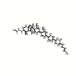 C=CCCc1ccc(OC(F)(F)c2c(F)cc(-c3ccc(-c4ccc(C5CCC(CC/C=C/C)CC5)cc4)cc3F)cc2F)cc1F